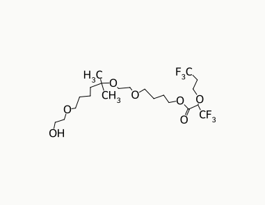 CC(C)(CCCCOCCO)OCCOCCCCOC(=O)C(OCCC(F)(F)F)C(F)(F)F